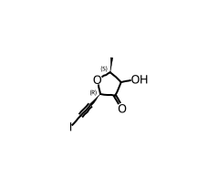 C[C@@H]1O[C@H](C#CI)C(=O)C1O